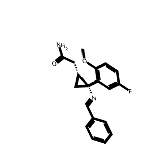 COc1ccc(F)cc1[C@@]1(N=Cc2ccccc2)C[C@@H]1CC(N)=O